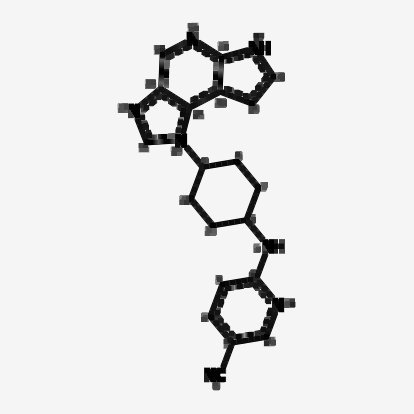 N#Cc1ccc(NC2CCC(n3cnc4cnc5[nH]ccc5c43)CC2)nc1